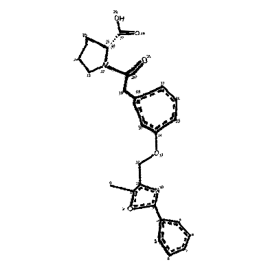 Cc1oc(-c2ccccc2)nc1COc1cccc(CC(=O)N2CCC[C@@H]2C(=O)O)c1